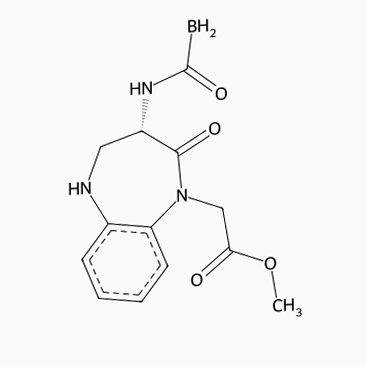 BC(=O)N[C@H]1CNc2ccccc2N(CC(=O)OC)C1=O